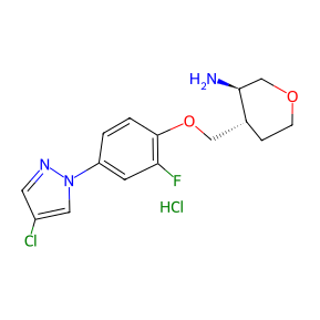 Cl.N[C@H]1COCC[C@@H]1COc1ccc(-n2cc(Cl)cn2)cc1F